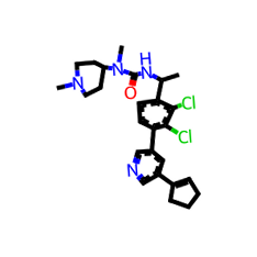 CC(NC(=O)N(C)C1CCN(C)CC1)c1ccc(-c2cncc(C3=CCCC3)c2)c(Cl)c1Cl